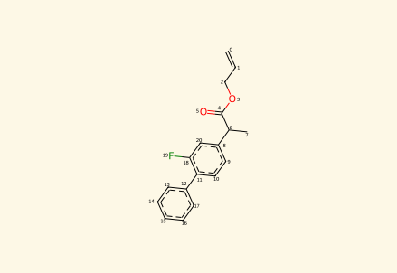 C=CCOC(=O)C(C)c1ccc(-c2ccccc2)c(F)c1